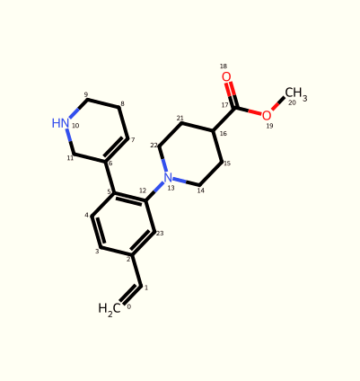 C=Cc1ccc(C2=CCCNC2)c(N2CCC(C(=O)OC)CC2)c1